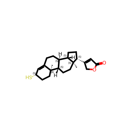 C[C@]12CC[C@H]3[C@@H](CCC4=C[C@@H](S)CC[C@@]43C)[C@@H]1CC[C@@H]2C1=CC(=O)OC1